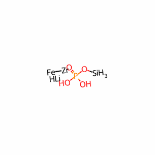 O=P(O)(O)O[SiH3].[Fe][Zr].[LiH]